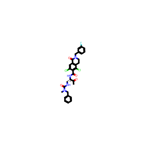 CC(=O)[C@H](CNC(=O)N(C)Cc1ccccc1)NC(=O)c1c(Cl)cc2c(c1Cl)CCN(Cc1cccc(F)c1)C2=O